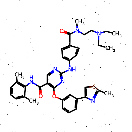 CCN(CC)CCN(C)C(=O)c1ccc(Nc2ncc(C(=O)Nc3c(C)cccc3C)c(Oc3cccc(-c4csc(C)n4)c3)n2)cc1